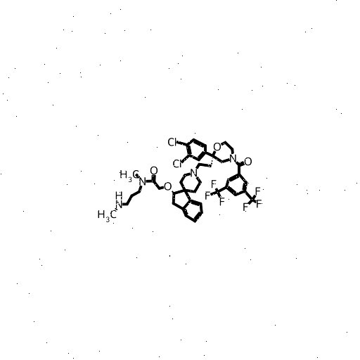 CNCCCN(C)C(=O)CO[C@H]1Cc2ccccc2C12CCN(CC[C@@]1(c3ccc(Cl)c(Cl)c3)CN(C(=O)c3cc(C(F)(F)F)cc(C(F)(F)F)c3)CCO1)CC2